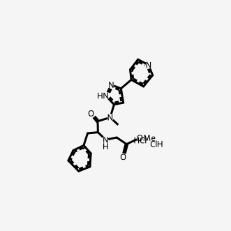 COC(=O)CNC(Cc1ccccc1)C(=O)N(C)c1cc(-c2ccncc2)n[nH]1.Cl.Cl